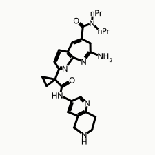 CCCN(CCC)C(=O)C1=Cc2ccc(C3(C(=O)Nc4cnc5c(c4)CNCC5)CC3)nc2N=C(N)C1